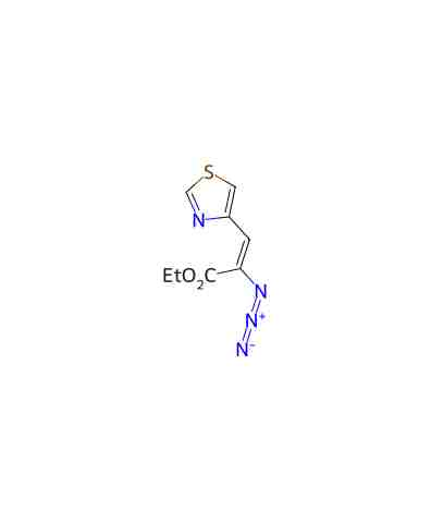 CCOC(=O)/C(=C\c1cscn1)N=[N+]=[N-]